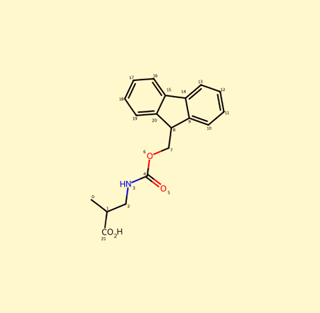 CC(CNC(=O)OCC1c2ccccc2-c2ccccc21)C(=O)O